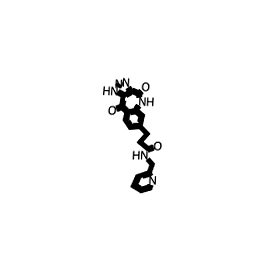 O=C(CCc1ccc2c(=O)c3[nH]nnc3c(=O)[nH]c2c1)NCc1ccccn1